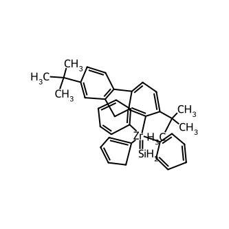 CC(C)(C)c1ccc2c(c1)Cc1c-2ccc(C(C)(C)C)[c]1[Zr](=[SiH2])([C]1=CC=CC1)([c]1ccccc1)[c]1ccccc1